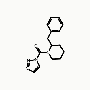 O=C(N1CCCCC1Cc1ccccc1)n1ccnn1